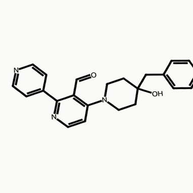 O=Cc1c(N2CCC(O)(Cc3ccccc3)CC2)ccnc1-c1ccncc1